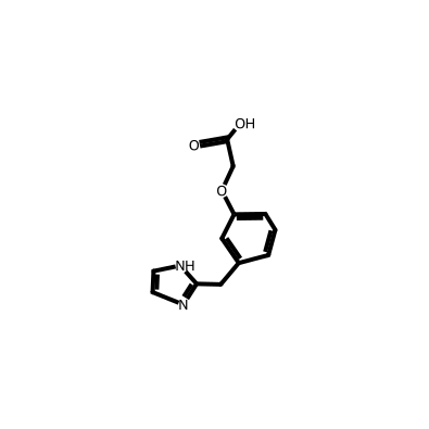 O=C(O)COc1cccc(Cc2ncc[nH]2)c1